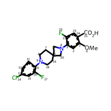 COc1cc(N2CC3(CCN(c4ccc(Cl)cc4F)CC3)C2)c(F)cc1C(=O)O